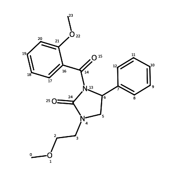 COCCN1CC(c2ccccc2)N(C(=O)c2ccccc2OC)C1=O